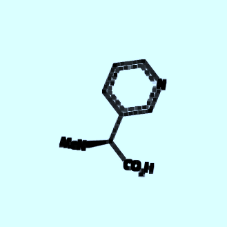 CN[C@H](C(=O)O)c1cccnc1